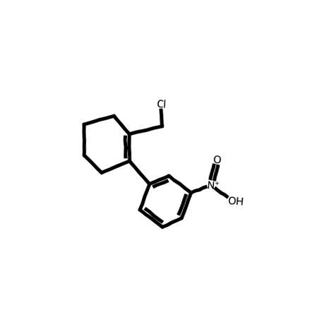 O=[N+](O)c1cccc(C2=C(CCl)CCCC2)c1